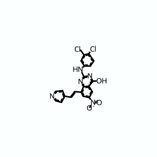 O=[N+]([O-])c1cc(C=Cc2ccncc2)c2nc(Nc3ccc(Cl)c(Cl)c3)nc(O)c2c1